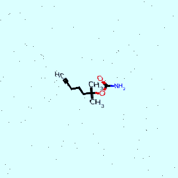 C#CCCCC(C)(C)OC(N)=O